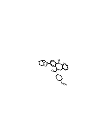 CCCC[C@H]1CC[C@H](C(=O)N2Cc3cccnc3Nc3ccc(N4CC5CCC(C4)O5)cc32)CC1